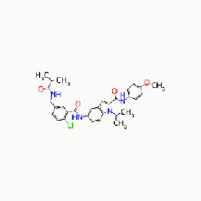 COc1ccc(NC(=O)c2cc3cc(NC(=O)c4cc(CNC(=O)C(C)C)ccc4Cl)ccc3n2C(C)C)cc1